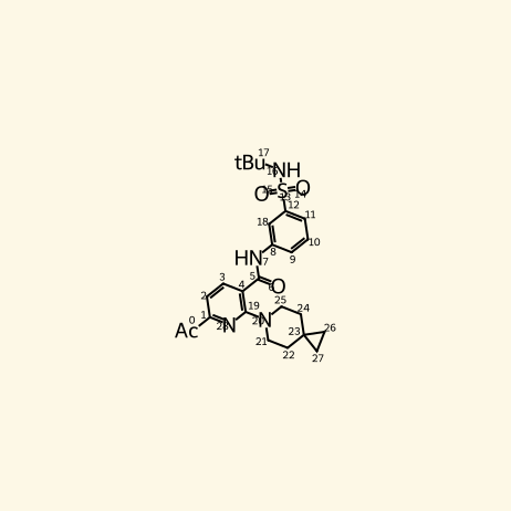 CC(=O)c1ccc(C(=O)Nc2cccc(S(=O)(=O)NC(C)(C)C)c2)c(N2CCC3(CC2)CC3)n1